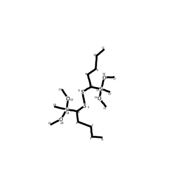 CCCCC(SSC(CCCC)[Si](C)(OC)OC)[Si](C)(OC)OC